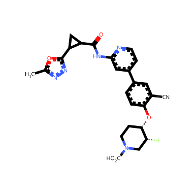 Cc1nnc(C2CC2C(=O)Nc2cc(-c3ccc(O[C@H]4CCN(C(=O)O)C[C@H]4F)c(C#N)c3)ccn2)o1